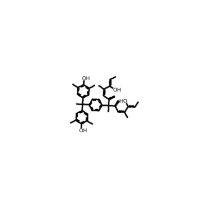 C=C(/C=C(C)\C(O)=C\C)C(C)(C(=C)/C=C(C)\C(O)=C\C)c1ccc(C(C)(c2cc(C)c(O)c(C)c2)c2cc(C)c(O)c(C)c2)cc1